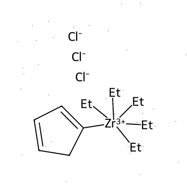 C[CH2][Zr+3]([CH2]C)([CH2]C)([CH2]C)([CH2]C)[C]1=CC=CC1.[Cl-].[Cl-].[Cl-]